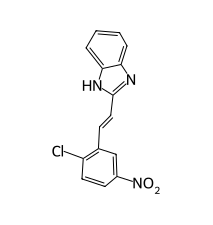 O=[N+]([O-])c1ccc(Cl)c(C=Cc2nc3ccccc3[nH]2)c1